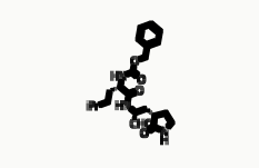 CC(C)CC[C@H](NC(=O)OCc1ccccc1)C(=O)N[C@H](C=O)C[C@@H]1CCNC1=O